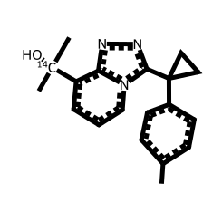 Cc1ccc(C2(c3nnc4c([14C](C)(C)O)cccn34)CC2)cc1